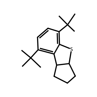 CC(C)(C)c1ccc(C(C)(C)C)c2c1SC1CCCC21